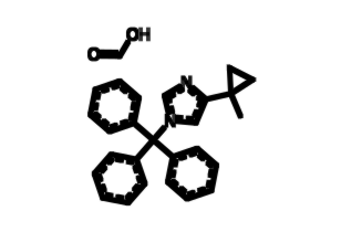 CC1(c2cn(C(c3ccccc3)(c3ccccc3)c3ccccc3)cn2)CC1.O=CO